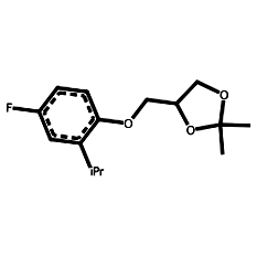 CC(C)c1cc(F)ccc1OCC1COC(C)(C)O1